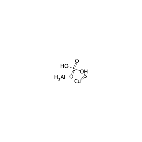 O=S(=O)(O)O.[AlH3].[S]=[Cu]